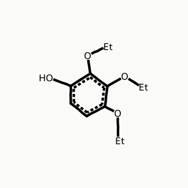 CCOc1ccc(O)c(OCC)c1OCC